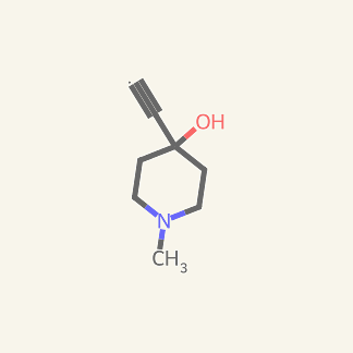 [C]#CC1(O)CCN(C)CC1